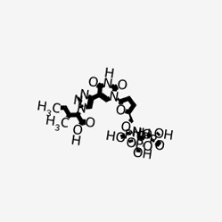 CCC(C)C(C(=O)O)n1cc(-c2cn([C@H]3CC[C@@H](COP(=N)(O)OP(=O)(O)OP(=O)(O)O)O3)c(=O)[nH]c2=O)nn1